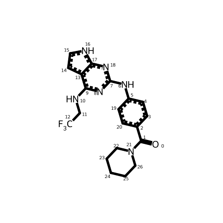 O=C(c1ccc(Nc2nc(NCC(F)(F)F)c3cc[nH]c3n2)cc1)N1CCCCC1